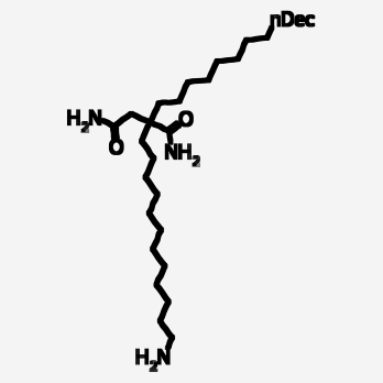 CCCCCCCCCCCCCCCCCCC(CCCCCCCCCCCCN)(CC(N)=O)C(N)=O